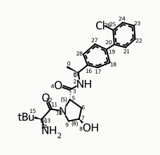 C[C@H](NC(=O)[C@@H]1C[C@@H](O)CN1C(=O)[C@@H](N)C(C)(C)C)c1ccc(-c2ccccc2Cl)cc1